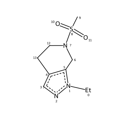 CCn1n[c]c2c1CN(S(C)(=O)=O)CC2